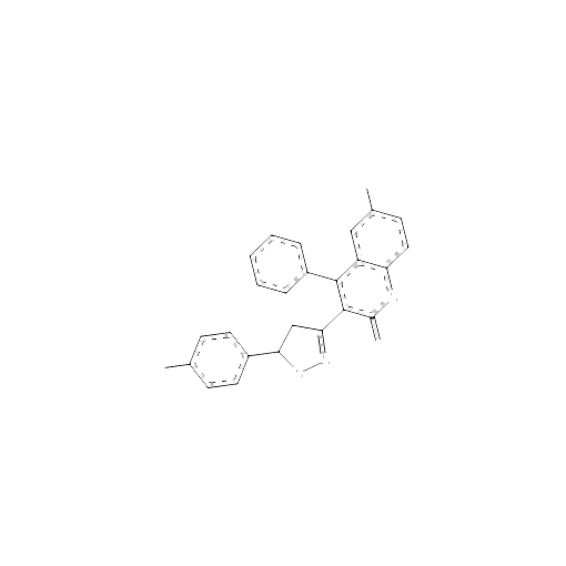 O=c1[nH]c2ccc(Cl)cc2c(-c2ccccc2)c1C1=NNC(c2ccc(F)cc2)C1